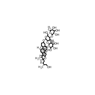 CC1O[C@@H](O[C@@H]2C(CO)O[C@@H](OC3CC[C@@]4(C)C(=CC[C@H]5[C@@H]6CC7OC(O)(CC[C@@H](C)CO)[C@@H](C)[C@@H]7[C@@]6(C)CC[C@@H]54)C3)[C@@H](O[C@@H]3OC(O)[C@H](O)C(O)[C@@H]3O)C2O)[C@@H](O)C(O)[C@H]1O